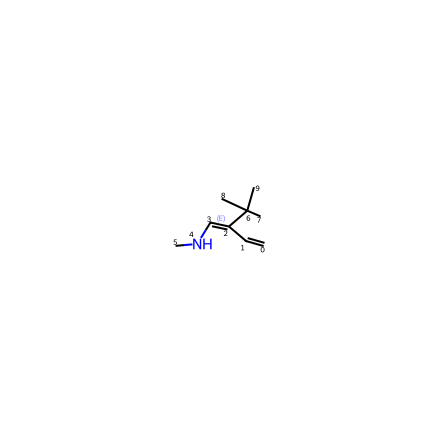 C=C/C(=C\NC)C(C)(C)C